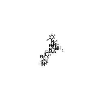 Cc1ccccc1NC(C)NC(=O)c1nc(-c2ccc(C(=O)N3CCCNCC3)cc2)cnc1N